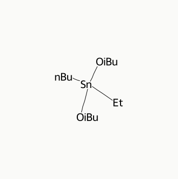 CCC[CH2][Sn]([CH2]C)([O]CC(C)C)[O]CC(C)C